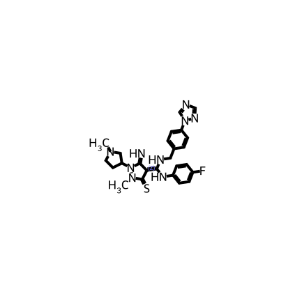 CN1CCC(N2C(=N)/C(=C(\NCc3ccc(-n4cncn4)cc3)Nc3ccc(F)cc3)C(=S)N2C)C1